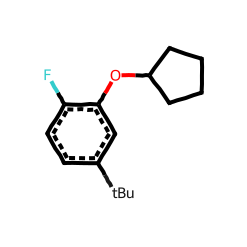 CC(C)(C)c1ccc(F)c(OC2CCCC2)c1